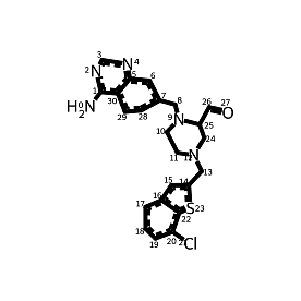 Nc1ncnc2cc(CN3CCN(Cc4cc5cccc(Cl)c5s4)CC3C=O)ccc12